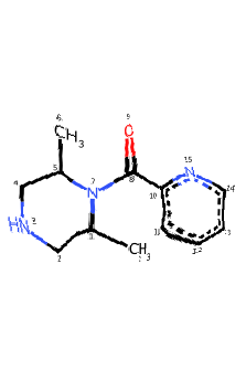 CC1CNCC(C)N1C(=O)c1ccccn1